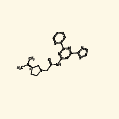 CN(C)[C@@H]1CCN(CC(=O)Nc2cc(-c3nccs3)nc(-c3ccccn3)n2)C1